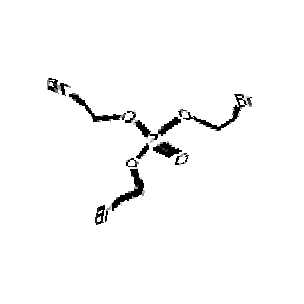 O=P(OCBr)(OCBr)OCBr